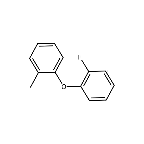 Cc1ccccc1Oc1ccc[c]c1F